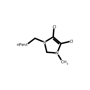 CCCCCCN1CN(C)C(Cl)=C1Cl